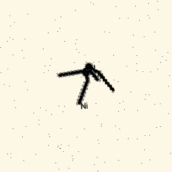 CCCCCCCCCCCCCCC#CC(=Nc1cccc(C#CCCCCCCCCCCCCCC)c1)C(CCCCCC)=Nc1cccc(C#CCCCCCCCCCCCCCC)c1.[Ni]